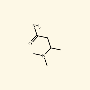 CC(CC(N)=O)N(C)C